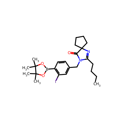 CCCCC1=NC2(CCCC2)C(=O)N1Cc1ccc(B2OC(C)(C)C(C)(C)O2)c(I)c1